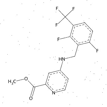 COC(=O)c1cc(NCc2c(F)ccc(C(F)(F)F)c2F)ccn1